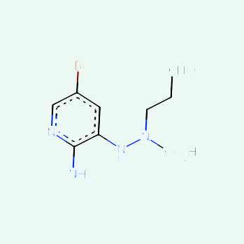 Nc1ncc(Br)cc1NN(CCC=O)C(=O)O